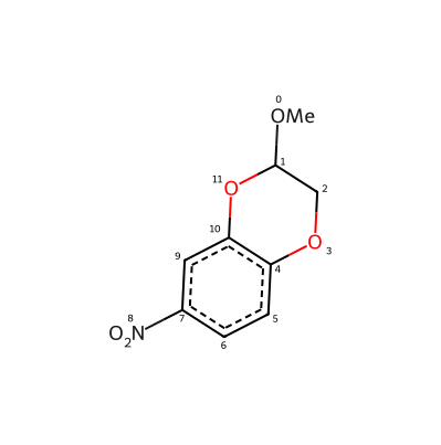 COC1COc2ccc([N+](=O)[O-])cc2O1